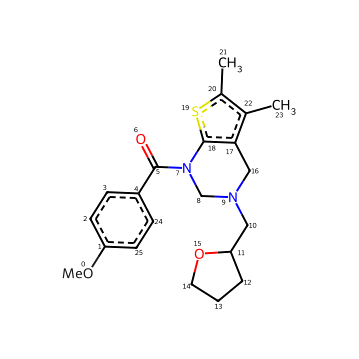 COc1ccc(C(=O)N2CN(CC3CCCO3)Cc3c2sc(C)c3C)cc1